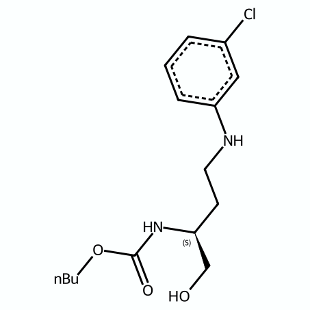 CCCCOC(=O)N[C@H](CO)CCNc1cccc(Cl)c1